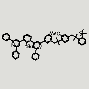 COc1cc(CC(C)(C)c2ccccc2[Si](C)(C)C)ccc1C(C)(C)Cc1cccc(-c2cc(-c3cccc(-c4cc(-c5ccccc5)nc(-c5ccccc5)c4)c3C(C)(C)C)cc(-c3ccccc3)n2)c1